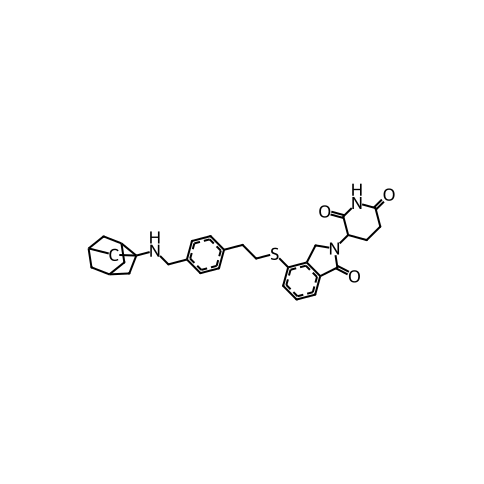 O=C1CCC(N2Cc3c(SCCc4ccc(CNC56CC7CC(CC5C7)C6)cc4)cccc3C2=O)C(=O)N1